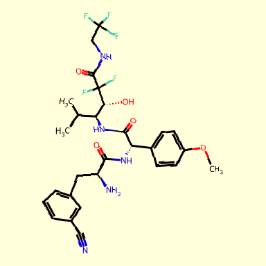 COc1ccc([C@H](NC(=O)[C@@H](N)Cc2cccc(C#N)c2)C(=O)N[C@@H](C(C)C)[C@@H](O)C(F)(F)C(=O)NCC(F)(F)F)cc1